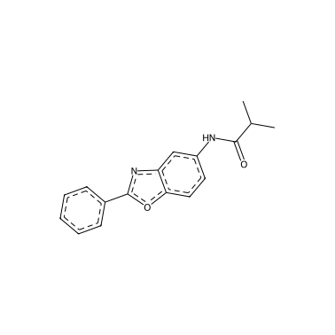 CC(C)C(=O)Nc1ccc2oc(-c3ccccc3)nc2c1